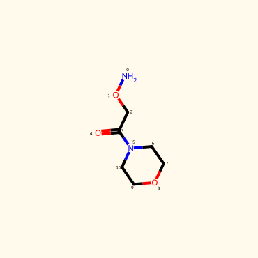 NOCC(=O)N1CCOCC1